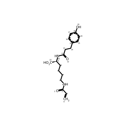 C=CC(=O)NCCCC[C@H](NC(=O)CCc1ccc(O)cc1)C(=O)O